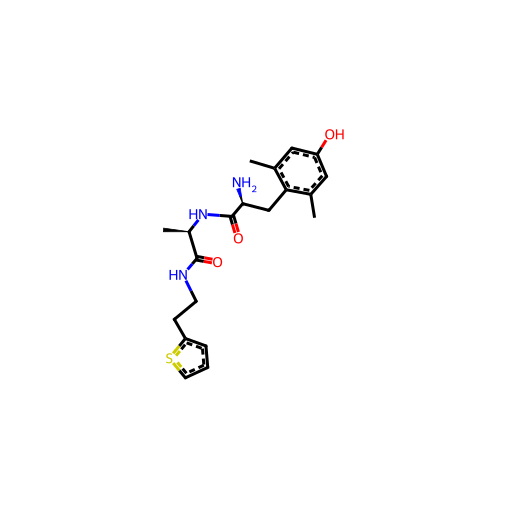 Cc1cc(O)cc(C)c1C[C@H](N)C(=O)N[C@H](C)C(=O)NCCc1cccs1